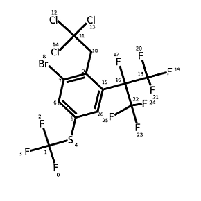 FC(F)(F)Sc1[c]c(Br)c(CC(Cl)(Cl)Cl)c(C(F)(C(F)(F)F)C(F)(F)F)c1